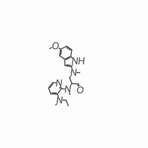 CCN(C)c1cccnc1N(C)C(C=O)CN(C)c1cc2cc(OC)ccc2[nH]1